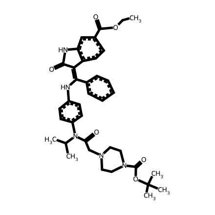 CCOC(=O)c1ccc2c(c1)NC(=O)/C2=C(\Nc1ccc(N(C(=O)CN2CCN(C(=O)OC(C)(C)C)CC2)C(C)C)cc1)c1ccccc1